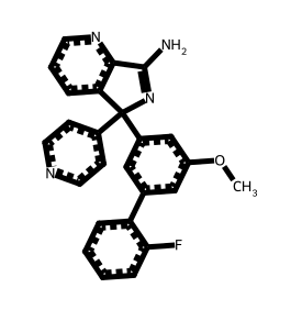 COc1cc(-c2ccccc2F)cc(C2(c3ccncc3)N=C(N)c3ncccc32)c1